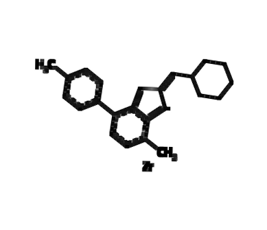 Cc1ccc(-c2ccc(C)c3c2=CC(=CC2CCCCC2)[C]=3)cc1.[Zr]